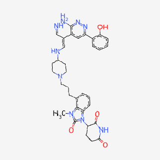 Cn1c(=O)n(C2CCC(=O)NC2=O)c2cccc(CCCN3CCC(N/C=C(\C=N)c4cc(-c5ccccc5O)nnc4N)CC3)c21